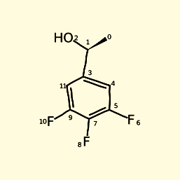 C[C@H](O)c1cc(F)c(F)c(F)c1